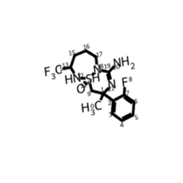 CC1(c2ccccc2F)C[SH]2(=O)NC(C(F)(F)F)CCCN2C(N)=N1